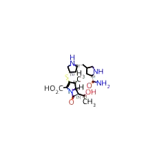 C[C@@H](O)[C@H]1C(=O)N2C(C(=O)O)=C(S[C@@H]3CN[C@H](CC4CN[C@H](C(N)=O)C4)C3)[C@H](C)[C@H]12